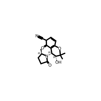 C[C@@H]1CCC(=O)N1[C@@H]1C2=C(C=CC(C#N)C2=O)OC(C)(C)[C@@H]1O